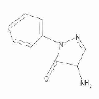 NC1C=NN(c2ccccc2)C1=O